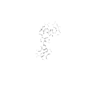 c1ccc(-c2nc(-c3cccc4oc5ccccc5c34)nc(-c3cccc4oc5ccc(-c6ccc(-c7ccc8c(c7)-c7ccccc7C87c8ccccc8-c8ccccc87)cc6)cc5c34)n2)cc1